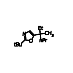 CCCC(C)(CC)c1cnc(C(C)(C)C)o1